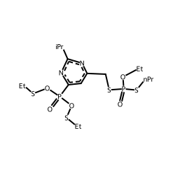 CCCSP(=O)(OCC)SCc1cc(P(=O)(OSCC)OSCC)nc(C(C)C)n1